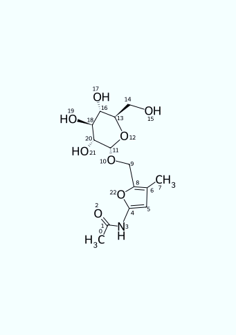 CC(=O)Nc1cc(C)c(CO[C@H]2O[C@H](CO)[C@@H](O)[C@H](O)[C@H]2O)o1